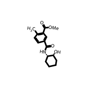 COC(=O)c1cc(C(=O)N[C@H]2CCCC[C@@H]2O)ccc1C